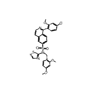 COc1ccc(CN(c2ncns2)S(=O)(=O)c2ccc3c(-c4ccc(Cl)cc4OC)nccc3c2)c(OC)c1